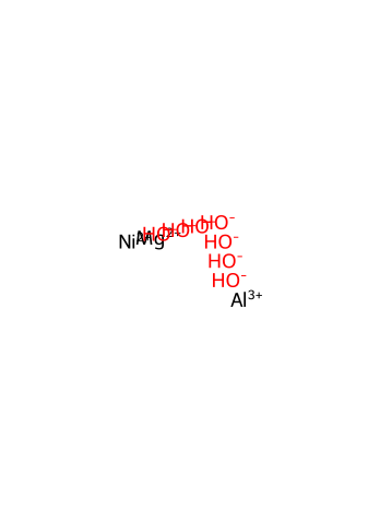 [Al+3].[Mg+2].[Ni+2].[OH-].[OH-].[OH-].[OH-].[OH-].[OH-].[OH-]